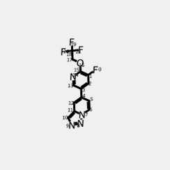 Fc1cc(-c2ccn3nncc3c2)cnc1OCC(F)(F)F